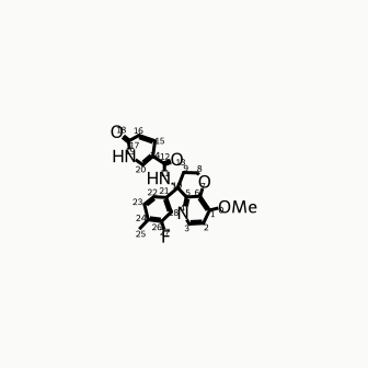 COc1ccnc2c1OCC[C@]2(NC(=O)c1ccc(=O)[nH]c1)c1ccc(C)c(F)c1